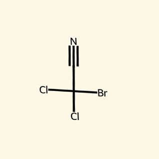 N#CC(Cl)(Cl)Br